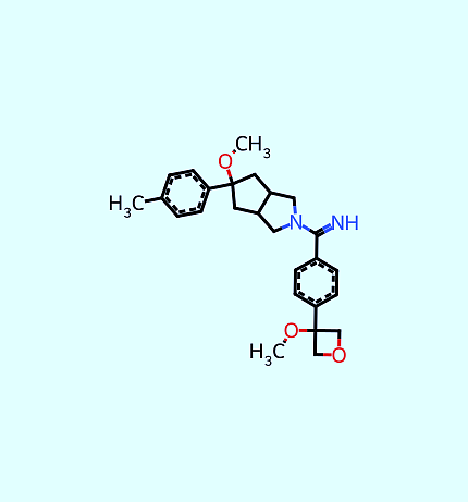 COC1(c2ccc(C(=N)N3CC4CC(OC)(c5ccc(C)cc5)CC4C3)cc2)COC1